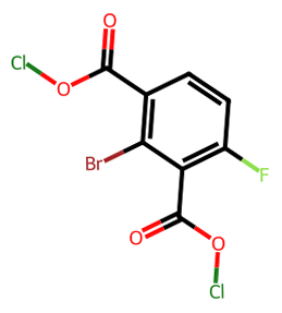 O=C(OCl)c1ccc(F)c(C(=O)OCl)c1Br